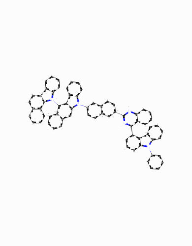 c1ccc(-n2c3ccccc3c3c(-c4nc(-c5ccc6cc(-n7c8ccccc8c8c(-n9c%10ccccc%10c%10ccc%11ccccc%11c%109)c9ccccc9cc87)ccc6c5)nc5ccccc45)cccc32)cc1